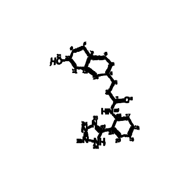 O=C(CCc1ccc2ccc(O)cc2c1)Nc1ccccc1-c1nnn[nH]1